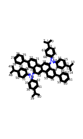 CC(C)c1ccc(N(c2ccc(C(C)C)cc2)c2cc3c4ccc(-c5ccccc5)cc4c(N(c4ccc(C(C)C)cc4)c4ccc(C(C)C)cc4)cc3c3ccc(-c4ccccc4)cc23)cc1